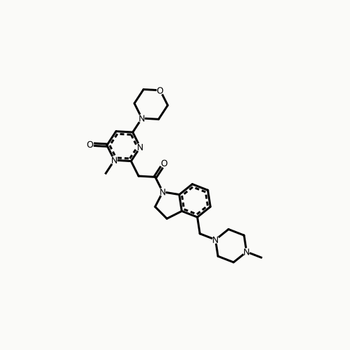 CN1CCN(Cc2cccc3c2CCN3C(=O)Cc2nc(N3CCOCC3)cc(=O)n2C)CC1